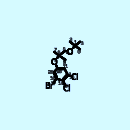 CC(C)(C)OCC(C)(C)Oc1cc(Cl)c(Cl)c(Br)c1